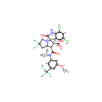 COc1cc(N(C)C(=O)[C@H]2[C@H]3CC(F)(F)CN3[C@]3(C(=O)Nc4c(Cl)cc(Cl)cc43)[C@H]2C(=O)O)cc(C(F)(F)F)c1